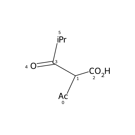 CC(=O)C(C(=O)O)C(=O)C(C)C